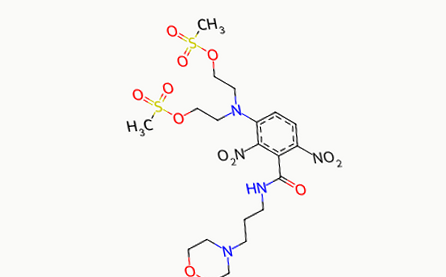 CS(=O)(=O)OCCN(CCOS(C)(=O)=O)c1ccc([N+](=O)[O-])c(C(=O)NCCCN2CCOCC2)c1[N+](=O)[O-]